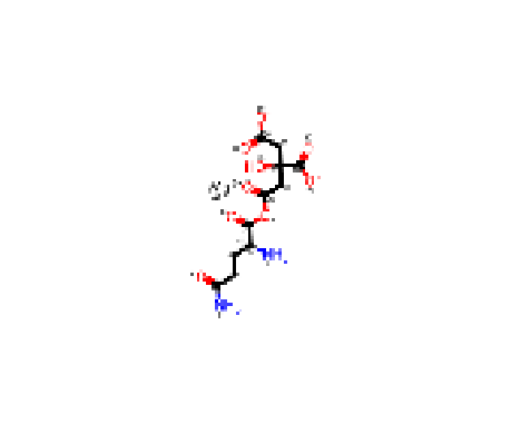 NC(=O)CC[C@H](N)C(=O)OC(=O)CC(O)(CC(=O)[O-])C(=O)[O-].[Mg+2]